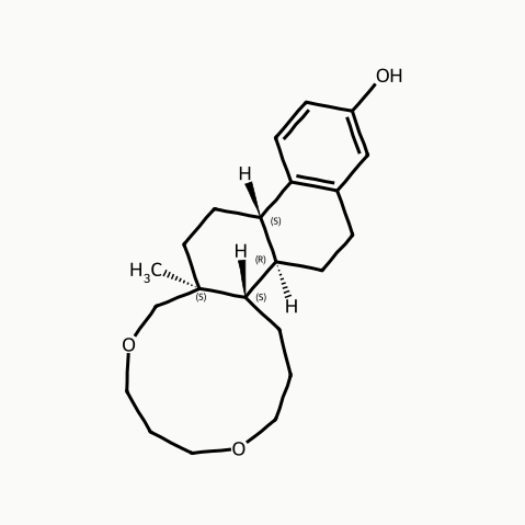 C[C@]12CC[C@@H]3c4ccc(O)cc4CC[C@H]3[C@@H]1CCCOCCCOC2